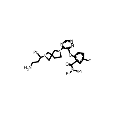 CCN(C(=O)c1cc(F)ccc1Oc1nncnc1N1CCC2(C1)CN(C(CCN)C(C)C)C2)C(C)C